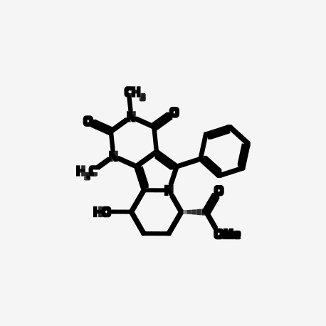 COC(=O)[C@@H]1CCC(O)c2c3c(c(-c4ccccc4)n21)c(=O)n(C)c(=O)n3C